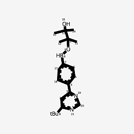 CC(C)(C)c1cc(-c2ccc(BOC(C)(C)C(C)(C)O)cc2)ncn1